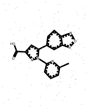 Cc1cccc(-n2nc(C(=O)O)cc2-c2ccc3nonc3c2)n1